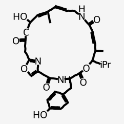 CC1=C\C(O)CC(=O)Cc2nc(co2)C(=O)NC(Cc2ccc(O)cc2)C(=O)OC(C(C)C)C(C)/C=C/C(=O)NC\C=C\1